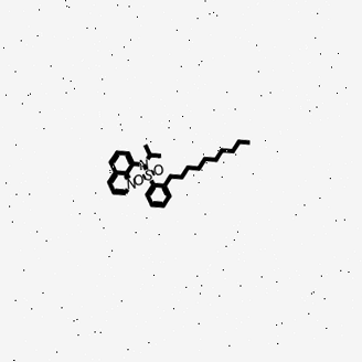 CCCCCCCCCCc1ccccc1S(=O)(=O)N(c1cccc2cccnc12)C(C)C